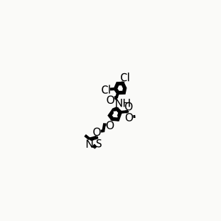 COC(=O)c1cc(OCCOc2scnc2C)ccc1NC(=O)c1ccc(Cl)cc1Cl